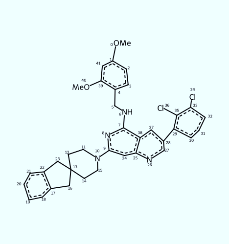 COc1ccc(CNc2nc(N3CCC4(CC3)Cc3ccccc3C4)cc3ncc(-c4cccc(Cl)c4Cl)cc23)c(OC)c1